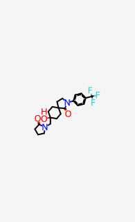 O=C1CCCN1CC1(O)CCC2(CCN(c3ccc(C(F)(F)F)cc3)C2=O)CC1